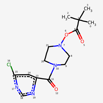 CC(C)(C)C(=O)ON1CCN(C(=O)c2cc(Cl)ncn2)CC1